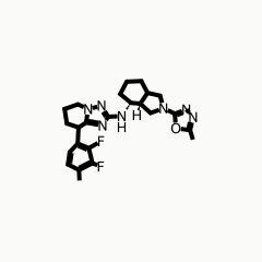 Cc1nnc(N2CC3CCC[C@@H](Nc4nc5n(n4)CCCC5c4ccc(C)c(F)c4F)[C@@H]3C2)o1